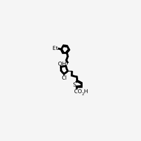 CCc1cccc(CCC[C@@H]2[C@@H](CCCc3ccc(C(=O)O)s3)[C@H](Cl)C[C@H]2O)c1